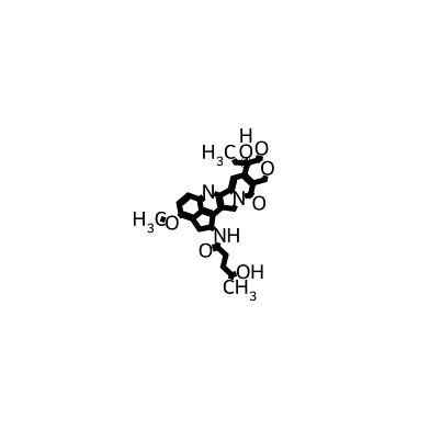 CC[C@@]1(O)C(=O)OCc2c1cc1n(c2=O)Cc2c-1nc1ccc(OC)c3c1c2C(NC(=O)CCC(C)O)C3